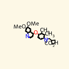 COc1cc2nccc(Oc3ccc(N(CC4CCC4)C(=O)O)c(C)c3C)c2cc1OC